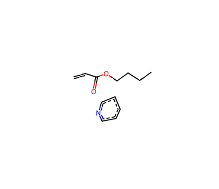 C=CC(=O)OCCCC.c1ccncc1